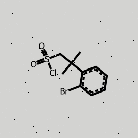 CC(C)(CS(=O)(=O)Cl)c1ccccc1Br